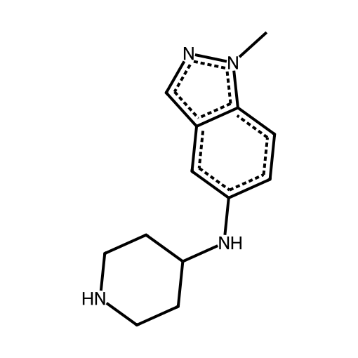 Cn1ncc2cc(NC3CCNCC3)ccc21